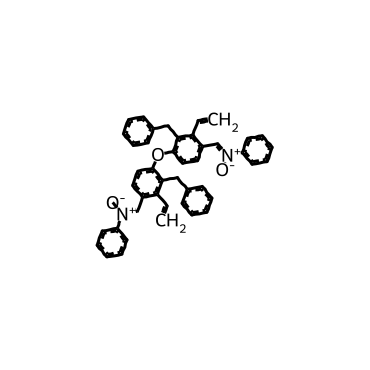 C=Cc1c(C=[N+]([O-])c2ccccc2)ccc(Oc2ccc(C=[N+]([O-])c3ccccc3)c(C=C)c2Cc2ccccc2)c1Cc1ccccc1